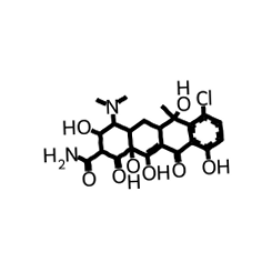 CN(C)C1C(O)C(C(N)=O)C(=O)C2(O)C(O)=C3C(=O)c4c(O)ccc(Cl)c4C(C)(O)C3CC12